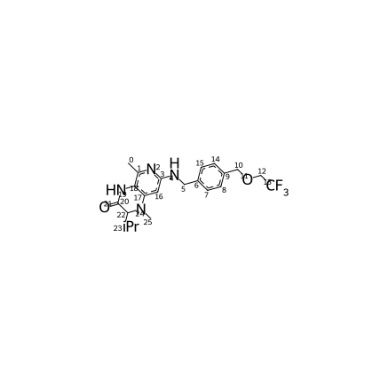 Cc1nc(NCc2ccc(COCC(F)(F)F)cc2)cc2c1NC(=O)C(C(C)C)N2C